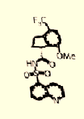 COc1ccc(C(F)(F)F)c2c1[C@H](C(=O)NS(=O)(=O)c1cccc3ncccc13)CC2